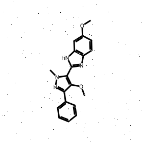 COc1ccc2nc(-c3c(OC)c(-c4ccccc4)nn3C)[nH]c2c1